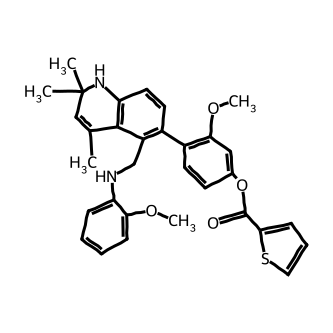 COc1ccccc1NCc1c(-c2ccc(OC(=O)c3cccs3)cc2OC)ccc2c1C(C)=CC(C)(C)N2